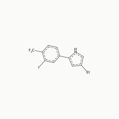 CCc1c[nH]c(-c2ccc(C(F)(F)F)c(I)c2)c1